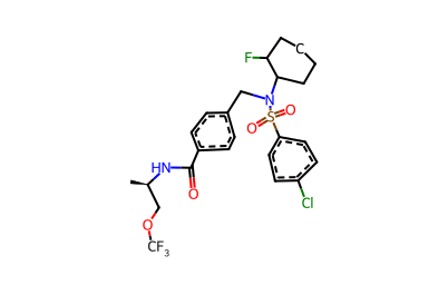 C[C@H](COC(F)(F)F)NC(=O)c1ccc(CN(C2CCCCC2F)S(=O)(=O)c2ccc(Cl)cc2)cc1